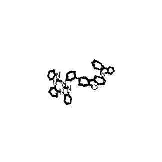 c1cc(-c2ccc3oc4ccc(-n5c6ccccc6c6ccccc65)cc4c3c2)cc(-n2c3nc4ccccc4n3c3ccccc3n3c4ccccc4nc23)c1